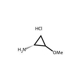 COC1C[C@H]1N.Cl